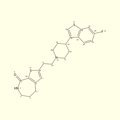 O=C1NCCCc2cc(CCN3CCC(c4csc5cc(F)ccc45)CC3)sc21